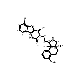 COc1cccc2c1CC[C@H]1CNC(CCn3c(=O)[nH]c4c(sc5c(Cl)ccnc54)c3=O)[C@@H]21